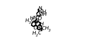 C=C[C@@]1(C)CC=C2[C@@H](CC[C@@H]3[C@](C)(C(=O)N[C@@H](Cc4cnc[nH]4)C(=O)O)CCC[C@@]23C)C1